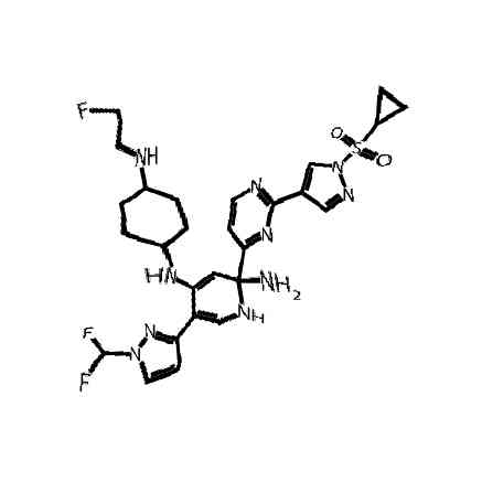 NC1(c2ccnc(-c3cnn(S(=O)(=O)C4CC4)c3)n2)C=C(NC2CCC(NCCF)CC2)C(c2ccn(C(F)F)n2)=CN1